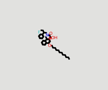 CCCCCCCCCCCCOc1ccc(CN(CC(CC)c2ccccc2F)C(=O)C(=O)O)c2ccccc12